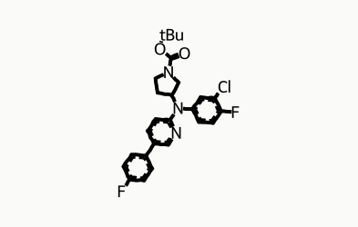 CC(C)(C)OC(=O)N1CCC(N(c2ccc(F)c(Cl)c2)c2ccc(-c3ccc(F)cc3)cn2)C1